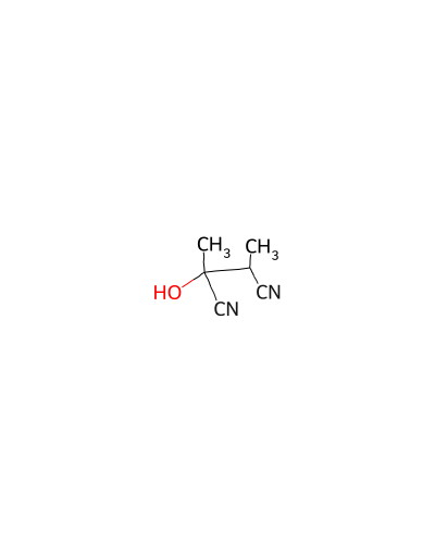 CC(C#N)C(C)(O)C#N